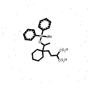 CC(O[Si](c1ccccc1)(c1ccccc1)C(C)(C)C)C1(CCC(C(=O)O)C(=O)O)CCCCC1